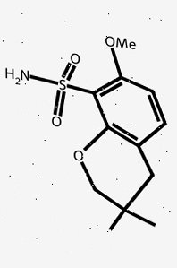 COc1ccc2c(c1S(N)(=O)=O)OCC(C)(C)C2